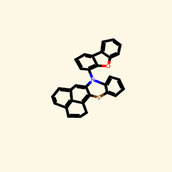 C1=Cc2cccc3cc4c(c(c23)C1)Sc1ccccc1N4c1cccc2c1oc1ccccc12